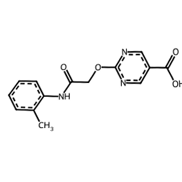 Cc1ccccc1NC(=O)COc1ncc(C(=O)O)cn1